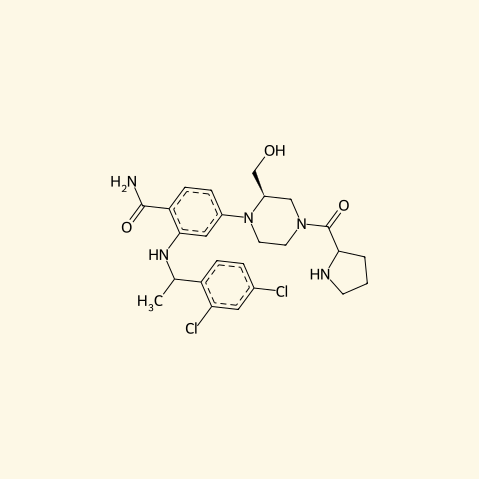 CC(Nc1cc(N2CCN(C(=O)C3CCCN3)C[C@@H]2CO)ccc1C(N)=O)c1ccc(Cl)cc1Cl